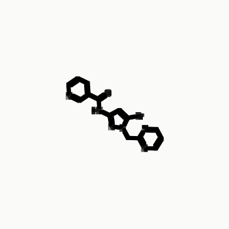 O=C(Nc1cc(Br)n(Cc2ncccn2)n1)c1cccnc1